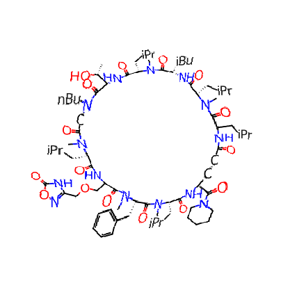 CCCCN1CC(=O)N(C)[C@@H](CC(C)C)C(=O)NC(COCc2noc(=O)[nH]2)C(=O)N(C)[C@@H](Cc2ccccc2)C(=O)N(C)[C@@H](CC(C)C)C(=O)N[C@H](C(=O)N2CCCCC2)CCC(=O)NC(CC(C)C)C(=O)N(C)[C@@H](CC(C)C)C(=O)N[C@@H]([C@@H](C)CC)C(=O)N(C)[C@@H](CC(C)C)C(=O)N[C@@H]([C@@H](C)O)C1=O